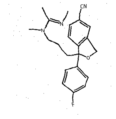 CN=C(C)N(C)CCCC1(c2ccc(F)cc2)OCc2cc(C#N)ccc21